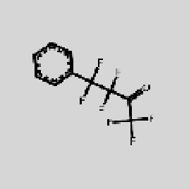 O=C(C(F)(F)F)C(F)(F)C(F)(F)c1ccccc1